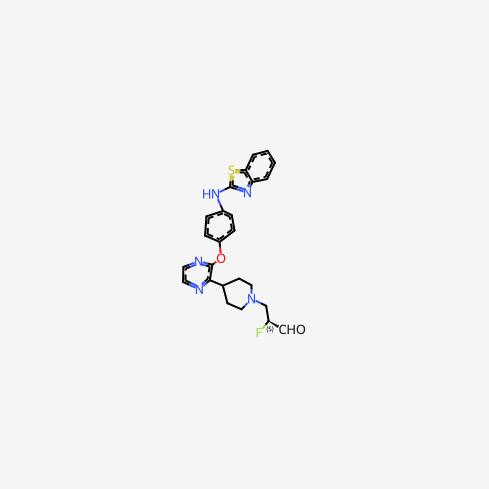 O=C[C@@H](F)CN1CCC(c2nccnc2Oc2ccc(Nc3nc4ccccc4s3)cc2)CC1